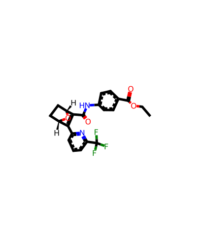 CCOC(=O)c1ccc(NC(=O)C2=C(c3cccc(C(F)(F)F)n3)[C@@H]3CC[C@H]2O3)cc1